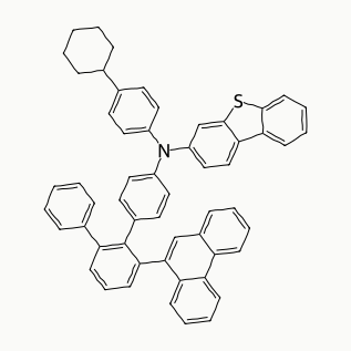 c1ccc(-c2cccc(-c3cc4ccccc4c4ccccc34)c2-c2ccc(N(c3ccc(C4CCCCC4)cc3)c3ccc4c(c3)sc3ccccc34)cc2)cc1